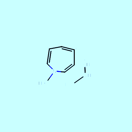 CN1C=CC=CC=C1.C[SiH2]C